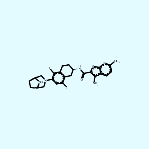 Cc1ccc2c(N)c(C(=O)N[C@H]3CCc4c(F)c(N5CC6CCC(C5)N6)cc(F)c4C3)sc2n1